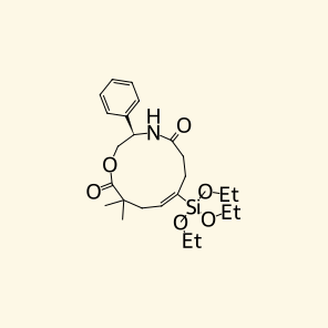 CCO[Si](OCC)(OCC)C1=CCC(C)(C)C(=O)OC[C@@H](c2ccccc2)NC(=O)CC1